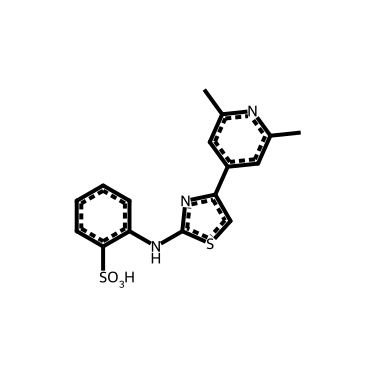 Cc1cc(-c2csc(Nc3ccccc3S(=O)(=O)O)n2)cc(C)n1